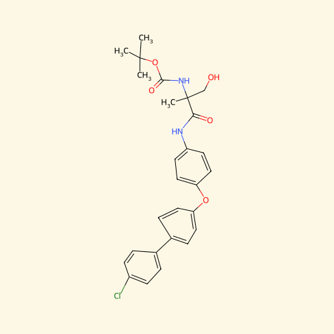 CC(C)(C)OC(=O)NC(C)(CO)C(=O)Nc1ccc(Oc2ccc(-c3ccc(Cl)cc3)cc2)cc1